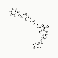 O=C1OC(CCCCCCc2ccc(OCc3ccccc3)cc2)C(=O)N1Cc1coc(/C=C/c2ccccc2)n1